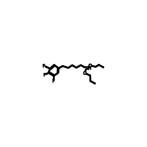 CCCO[SiH](CCCCCc1cc(F)c(F)c(F)c1)OCCC